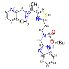 C=C(NCc1ncccc1C)c1csc(CCN(Cc2nc3ccccc3[nH]2)C(=O)OC(C)(C)C)n1